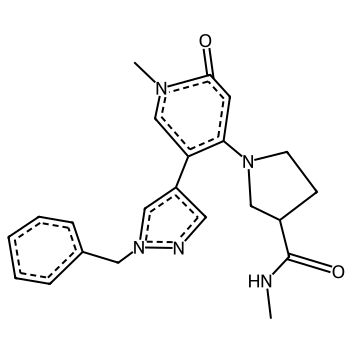 CNC(=O)C1CCN(c2cc(=O)n(C)cc2-c2cnn(Cc3ccccc3)c2)C1